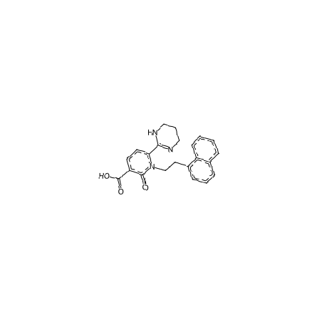 O=C(O)c1ccc(C2=NCCCN2)n(CCc2cccc3ccccc23)c1=O